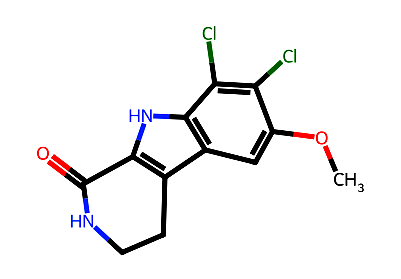 COc1cc2c3c([nH]c2c(Cl)c1Cl)C(=O)NCC3